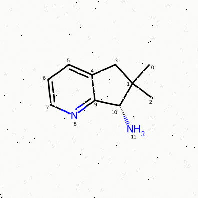 CC1(C)Cc2cccnc2[C@H]1N